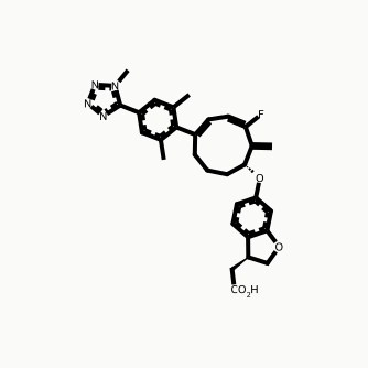 C=C1/C(F)=C\C=C(\c2c(C)cc(-c3nnnn3C)cc2C)CCC[C@H]1Oc1ccc2c(c1)OC[C@H]2CC(=O)O